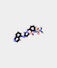 COc1c(CN2CC[C@@H](Nc3cccc4cnccc34)C2)cccc1NS(=O)(=O)N(C)C